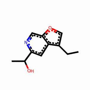 CCc1coc2cnc(C(C)O)cc12